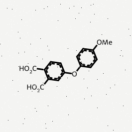 COc1ccc(Oc2ccc(C(=O)O)c(C(=O)O)c2)cc1